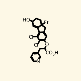 CCC12CCC(O)C=C1c1c(cc(OC(Cc3cccnc3)C(=O)O)c(Cl)c1Cl)C2